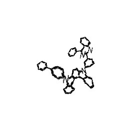 c1ccc(-c2ccc(-n3c4ccccc4c4c5c6ccccc6n(-c6cccc(-c7nc(-c8ccccc8)c8ccccc8n7)c6)c5ccc43)cc2)cc1